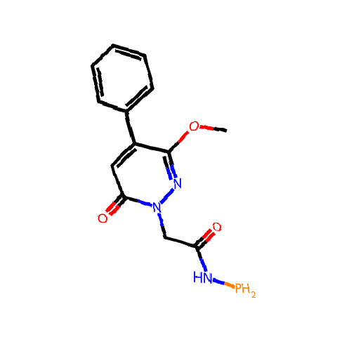 COc1nn(CC(=O)NP)c(=O)cc1-c1ccccc1